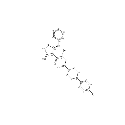 CC(C)[C@H](CC(=O)N1CCN(c2ccc(Cl)cc2)CC1)C(=O)N1C(=O)OC[C@H]1Cc1ccccc1